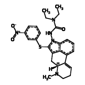 CCN(CC)C(=O)Nn1c(Sc2cccc([N+](=O)[O-])c2)c2c3c(cccc31)C1=CCCN(C)[C@@H]1C2